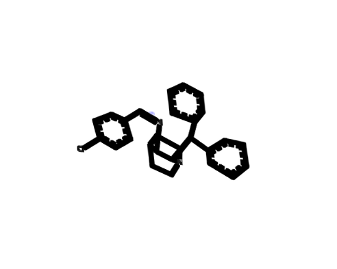 Clc1ccc(/C=N\C2C3CCN(CC3)C2C(c2ccccc2)c2ccccc2)cc1